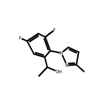 Cc1ccn(-c2c(F)cc(F)cc2C(C)O)n1